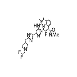 CNC(=O)c1c(F)cnc2c(C(C)[C@H](C)CNc3cc(-c4cnc(CC5CCN(CC(F)F)CC5)nc4)ncn3)cccc12